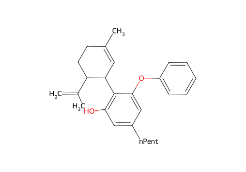 C=C(C)C1CCC(C)=CC1c1c(O)cc(CCCCC)cc1Oc1ccccc1